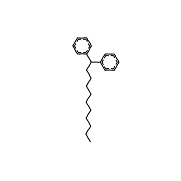 CCCCCCCCCCC(c1ccccc1)c1ccccc1